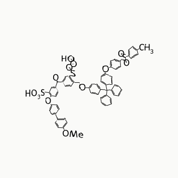 COc1ccc(-c2ccc(Oc3ccc(C(=O)c4ccc(COc5ccc(C(c6ccccc6)(c6ccccc6)c6ccc(Oc7ccc(S(=O)(=O)c8ccc(C)cc8)cc7)cc6)cc5)c(SOOO)c4)cc3S(=O)(=O)O)cc2)cc1